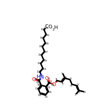 CC(C)=CCC/C(C)=C/COC(=O)c1ccccc1C(=O)NCCCCCCCCCCCC(=O)O